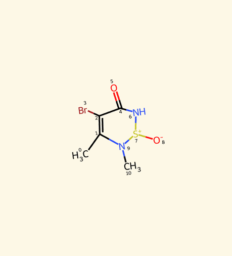 CC1=C(Br)C(=O)N[S+]([O-])N1C